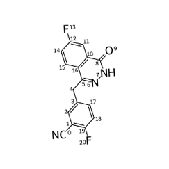 N#Cc1cc(Cc2n[nH]c(=O)c3cc(F)ccc23)ccc1F